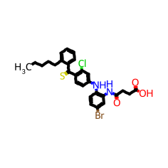 CCCCCc1ccccc1C(=S)c1ccc(Nc2ccc(Br)cc2NC(=O)CCC(=O)O)cc1Cl